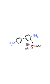 CCCOC(CC)(Cc1cc(-c2ccc(N)cc2)ccc1N)OC